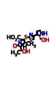 C[C@@H](O)[C@H]1C(=O)N2C(C(=O)O)=C(Sc3nc(C4=CCN[C@@H]4CO)cs3)[C@H](C)[C@H]12